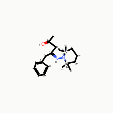 CC(=O)CC(Cc1ccccc1)=NN1[Si](C)(C)CCC[Si]1(C)C